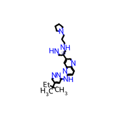 CCC(C)(C)c1cnnc(Nc2ccc3ncc(/C(C=N)=C/NCCCN4CCCC4)cc3n2)c1